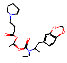 CCN(C(=O)OC(C)OC(=O)CCN1CCCCC1)C(C)Cc1ccc2c(c1)OCO2